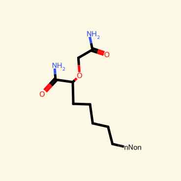 CCCCCCCCCCCCCCC(OCC(N)=O)C(N)=O